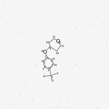 CC(C)(C)c1ccc(OC2CCOCC2)cc1